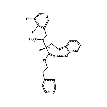 C[C@@](Cc1c[nH]c2ccccc12)(C(=O)NCCc1ccccc1)N(Cc1cccc(F)c1F)C(=O)O